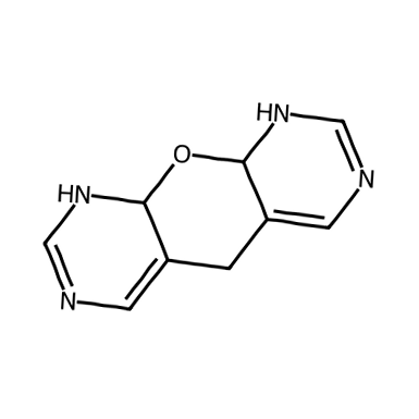 C1=NC=C2CC3=CN=CNC3OC2N1